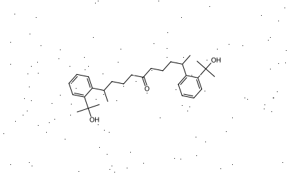 CC(CCCC(=O)CCCC(C)c1ccccc1C(C)(C)O)c1ccccc1C(C)(C)O